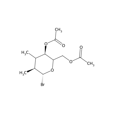 CC(=O)OCC1O[C@H](Br)[C@@H](C)C(C)[C@H]1OC(C)=O